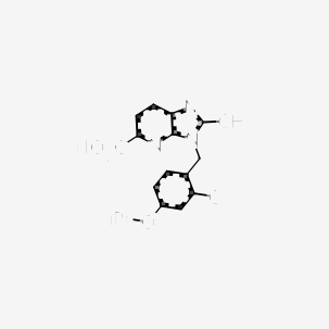 Cc1nc2ccc(C(=O)O)nc2n1Cc1ccc(OC(C)C)cc1Cl